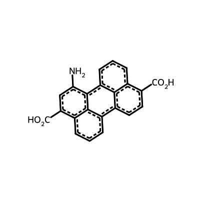 Nc1cc(C(=O)O)c2cccc3c4ccc(C(=O)O)c5cccc(c1c23)c54